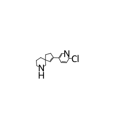 Clc1ccc(C2=CC3(CCCNC3)CC2)cn1